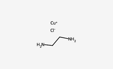 NCCN.[Cl-].[Cu+]